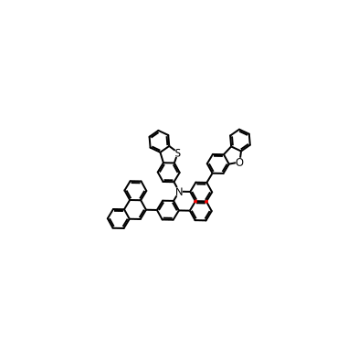 c1ccc(-c2ccc(-c3cc4ccccc4c4ccccc34)cc2N(c2cccc(-c3ccc4c(c3)oc3ccccc34)c2)c2ccc3c(c2)sc2ccccc23)cc1